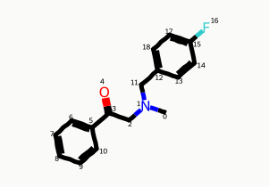 CN(CC(=O)c1ccccc1)Cc1ccc(F)cc1